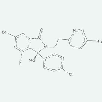 O=C1c2cc(Br)cc(F)c2[C@@](O)(c2ccc(Cl)cc2)N1CCc1ccc(Cl)cn1